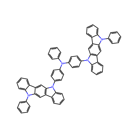 c1ccc(N(c2ccc(-n3c4ccccc4c4cc5c(cc43)c3ccccc3n5-c3ccccc3)cc2)c2ccc(-n3c4ccccc4c4cc5c(cc43)c3ccccc3n5-c3ccccc3)cc2)cc1